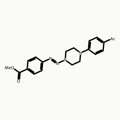 COC(=O)c1ccc(/N=N/N2CCN(c3ccc(C(C)=O)cc3)CC2)cc1